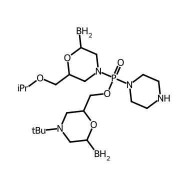 BC1CN(C(C)(C)C)CC(COP(=O)(N2CCNCC2)N2CC(B)OC(COC(C)C)C2)O1